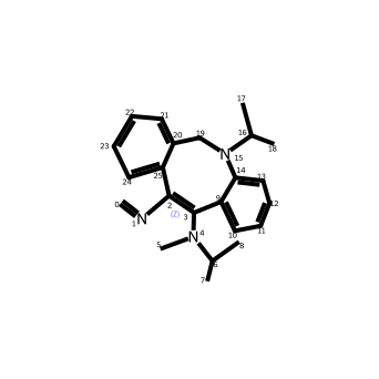 C=N/C1=C(\N(C)C(C)C)c2ccccc2N(C(C)C)Cc2ccccc21